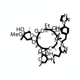 CC[C@H]1OC(=O)[C@H](C)[C@@H](O[C@H]2C[C@@](C)(OC)[C@@H](O)[C@H](C)O2)[C@H](C)[C@@H](O[C@@H]2O[C@H](C)C[C@H](N(C)CCc3cn([C@H](CF)Cc4ccc(-n5ccnn5)cc4)nn3)[C@H]2O)[C@](C)(O)C[C@@H](C)CN(C)[C@H](C)[C@@H](O)[C@]1(C)O